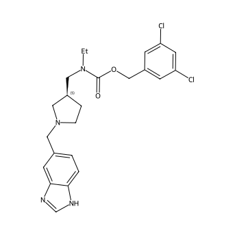 CCN(C[C@H]1CCN(Cc2ccc3[nH]cnc3c2)C1)C(=O)OCc1cc(Cl)cc(Cl)c1